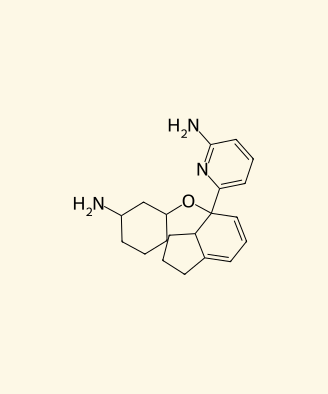 Nc1cccc(C2(OC3CCCC(N)C3)C=CC=C3CCCC32)n1